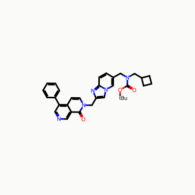 CC(C)(C)OC(=O)N(Cc1ccc2nc(Cn3ccc4c(-c5ccccc5)cncc4c3=O)cn2c1)CC1CCC1